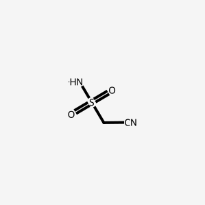 N#CCS([NH])(=O)=O